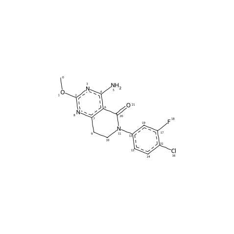 COc1nc(N)c2c(n1)CCN(c1ccc(Cl)c(F)c1)C2=O